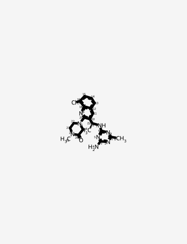 Cc1nc(N)nc(N[C@@H](C)c2cc3cccc(Cl)c3nc2N2CCN(C)C(=O)C2)n1